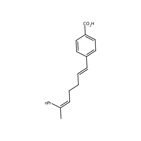 CCC/C(C)=C\CC/C=C/c1ccc(C(=O)O)cc1